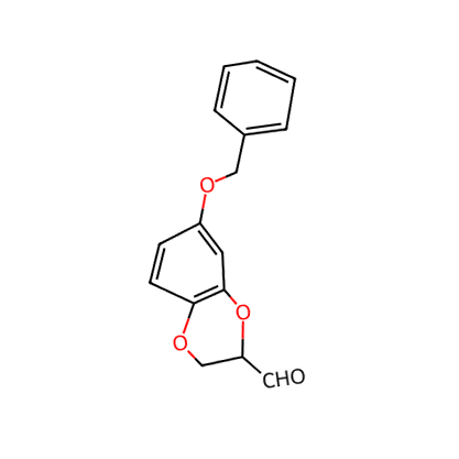 O=CC1COc2ccc(OCc3ccccc3)cc2O1